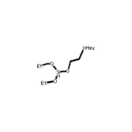 CCCCCCCCO[SiH](OCC)OCC